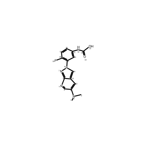 CN(C)c1cnc2nn(-c3cc(NC(=O)O)ccc3F)cc2c1